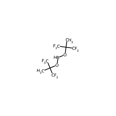 CC(OBOC(C)(C(F)(F)F)C(F)(F)F)(C(F)(F)F)C(F)(F)F